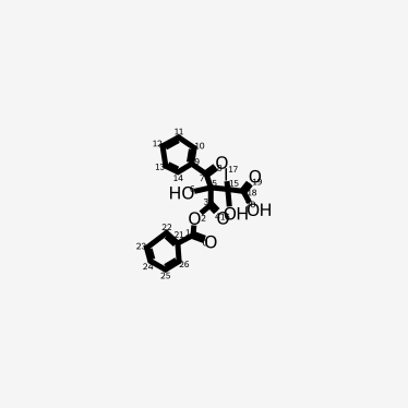 O=C(OC(=O)C(O)(C(=O)c1ccccc1)C(O)(I)C(=O)O)c1ccccc1